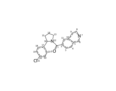 O=C(c1ccc2cnccc2c1)N1CCCC1c1ccc(Cl)cc1